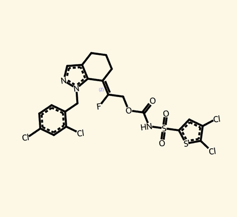 O=C(NS(=O)(=O)c1cc(Cl)c(Cl)s1)OC/C(F)=C1\CCCc2cnn(Cc3ccc(Cl)cc3Cl)c21